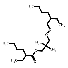 CCCCC(CC)COOCC(C)(C)COC(=O)C(CC)CCCC